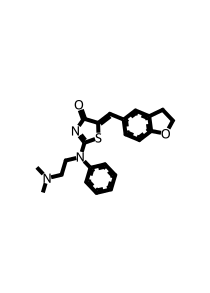 CN(C)CCN(C1=NC(=O)/C(=C/c2ccc3c(c2)CCO3)S1)c1ccccc1